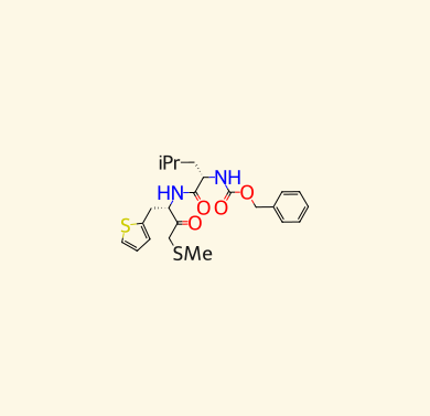 CSCC(=O)[C@H](Cc1cccs1)NC(=O)[C@H](CC(C)C)NC(=O)OCc1ccccc1